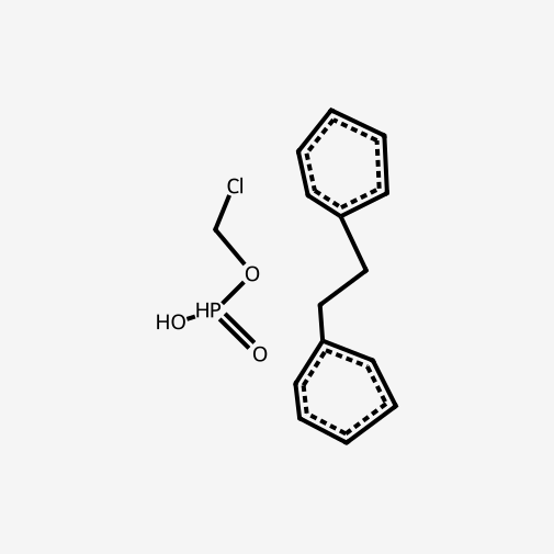 O=[PH](O)OCCl.c1ccc(CCc2ccccc2)cc1